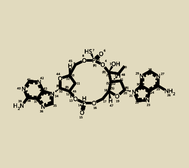 CC[C@@]1(O)O[P@](=O)(S)OC[C@@H]2C[C@@H](O[PH](=O)OC[C@H]3O[C@@H](n4cnc5c(N)ncnc54)C[C@@H]31)[C@H](n1cnc3c(N)ncnc31)O2